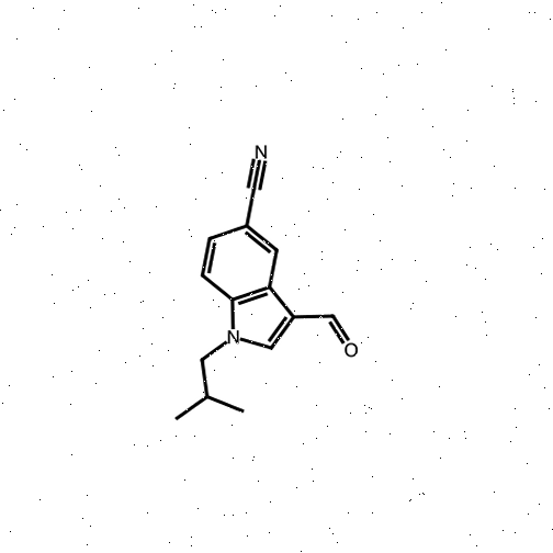 CC(C)Cn1cc(C=O)c2cc(C#N)ccc21